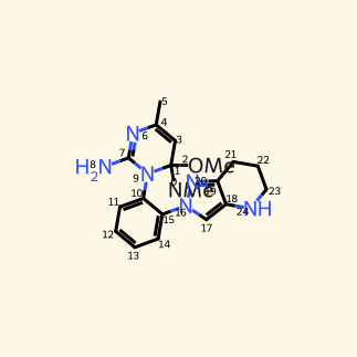 CNC1(OC)C=C(C)N=C(N)N1c1ccccc1-n1cc2c(n1)CCCN2